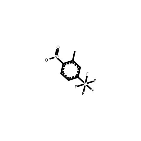 Cc1cc(S(F)(F)(F)(F)F)ccc1[N+](=O)[O-]